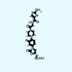 CC(=O)NC[C@H]1CN(c2ccc(N3CCN(C(=O)CNC(=O)c4csc(N)n4)CC3)c(F)c2)C(=O)O1